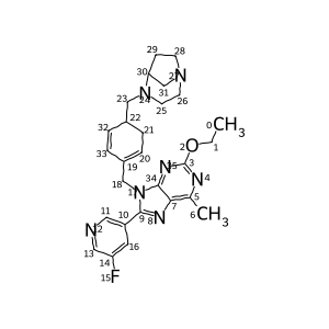 CCOc1nc(C)c2nc(-c3cncc(F)c3)n(CC3=CCC(CN4CCN5CCC4C5)C=C3)c2n1